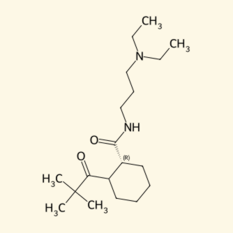 CCN(CC)CCCNC(=O)[C@@H]1CCCCC1C(=O)C(C)(C)C